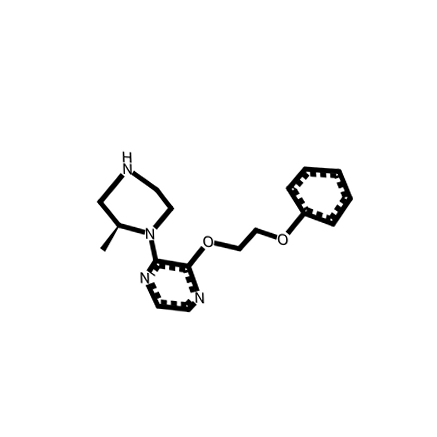 C[C@H]1CNCCN1c1nccnc1OCCOc1ccccc1